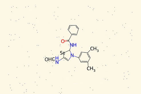 Cc1cc(C)cc(N2C=C(NC=O)[Se]C2NC(=O)c2ccccc2)c1